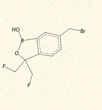 OB1OC(CF)(CF)c2ccc(CBr)cc21